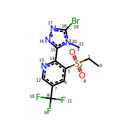 CCS(=O)(=O)c1cc(C(F)(F)F)cnc1-c1nnc(Br)n1C